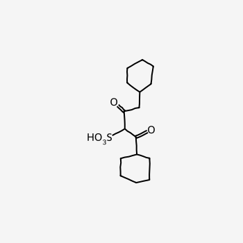 O=C(CC1CCCCC1)C(C(=O)C1CCCCC1)S(=O)(=O)O